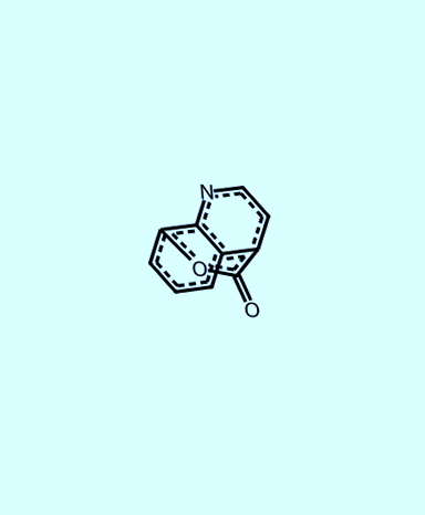 O=c1oc2cccc3c1ccnc23